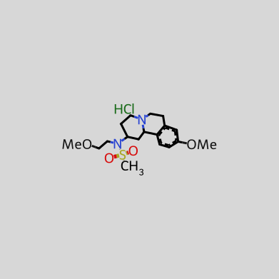 COCCN(C1CCN2CCc3cc(OC)ccc3C2C1)S(C)(=O)=O.Cl